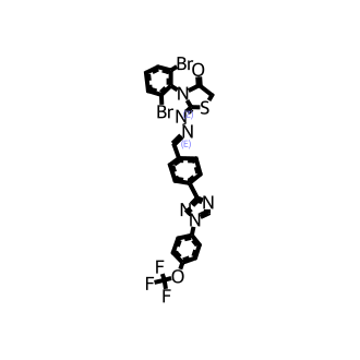 O=C1CS/C(=N\N=C\c2ccc(-c3ncn(-c4ccc(OC(F)(F)F)cc4)n3)cc2)N1c1c(Br)cccc1Br